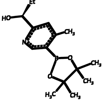 CC[C@H](O)c1cc(C)c(B2OC(C)(C)C(C)(C)O2)cn1